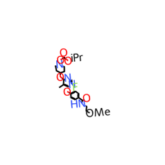 COCCNC(=O)c1ccc(Oc2ncnc(OC3CCN(OC(=O)OC(C)C)CC3)c2C)c(F)c1